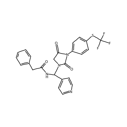 O=C(Cc1ccccc1)NC(c1ccncc1)N1CC(=O)N(c2ccc(SC(F)(F)F)cc2)C1=O